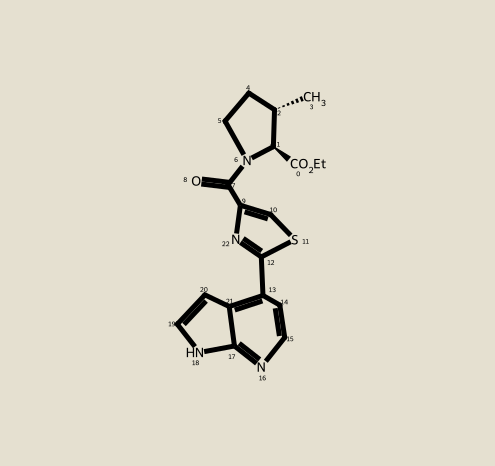 CCOC(=O)[C@@H]1[C@@H](C)CCN1C(=O)c1csc(-c2ccnc3[nH]ccc23)n1